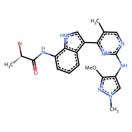 COc1nn(C)cc1Nc1ncc(C)c(-c2c[nH]c3c(NC(=O)[C@H](C)Br)cccc23)n1